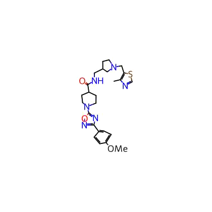 COc1ccc(-c2noc(N3CCC(C(=O)NCC4CCN(Cc5scnc5C)C4)CC3)n2)cc1